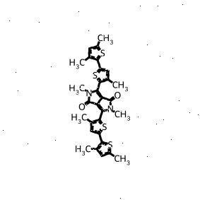 Cc1cc(C)c(-c2cc(C)c(C3=C4C(=O)N(C)C(c5sc(-c6sc(C)cc6C)cc5C)=C4C(=O)N3C)s2)s1